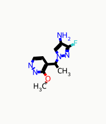 COc1nnccc1C(C)n1cc(N)c(F)n1